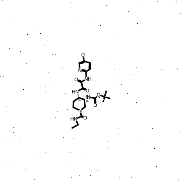 CCNC(=O)N1CC[C@H](NC(=O)C(=O)Nc2ccc(Cl)cn2)[C@H](NC(=O)OC(C)(C)C)C1